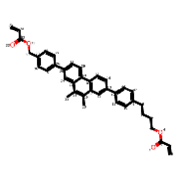 C=CC(=O)OCCCCc1ccc(-c2ccc3c(c2)c(C)c(C)c2cc(-c4ccc(COC(=O)C=C)cc4)ccc23)cc1